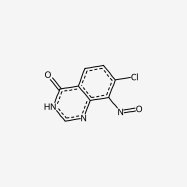 O=Nc1c(Cl)ccc2c(=O)[nH]cnc12